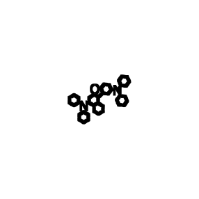 c1ccc(N(c2ccccc2)c2ccc3oc4cc(N(c5ccccc5)c5ccccc5)c5ccccc5c4c3c2)cc1